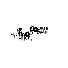 COc1cc2nccc(Oc3ccc(NC(=O)NC(C)c4nccs4)c(C(F)(F)F)c3)c2cc1OC